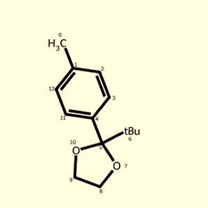 Cc1ccc(C2(C(C)(C)C)OCCO2)cc1